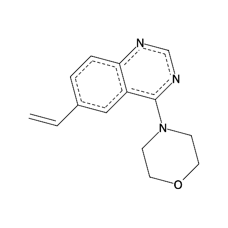 C=Cc1ccc2ncnc(N3CCOCC3)c2c1